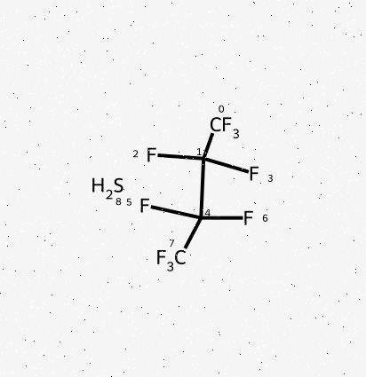 FC(F)(F)C(F)(F)C(F)(F)C(F)(F)F.S